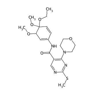 CCOC1(OC)C=CC(NC(=O)c2cnc(SC)nc2N2CCOCC2)=CC1OC